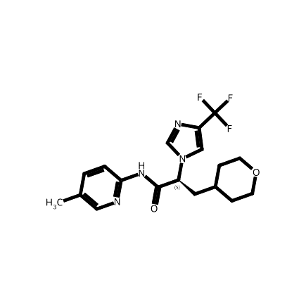 Cc1ccc(NC(=O)[C@H](CC2CCOCC2)n2cnc(C(F)(F)F)c2)nc1